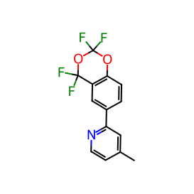 Cc1ccnc(-c2ccc3c(c2)C(F)(F)OC(F)(F)O3)c1